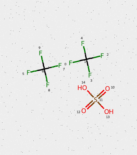 FC(F)(F)F.FC(F)(F)F.O=S(=O)(O)O